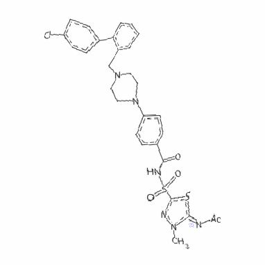 CC(=O)/N=c1\sc(S(=O)(=O)NC(=O)c2ccc(N3CCN(Cc4ccccc4-c4ccc(Cl)cc4)CC3)cc2)nn1C